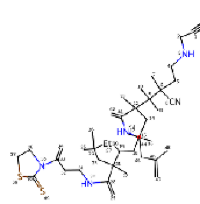 C#CCNCCC(C)(C#N)C(C)(C)C(C)(CC(C)(C)CC(C)C(C)(CC(C)(C)CC)C(=C)NCCC(=C)N1CCSC1=S)C(=C)NCCC(=C)C